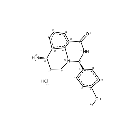 COc1ccc([C@@H]2NC(=O)c3cccc4c3N2CC[C@H]4N)cc1.Cl